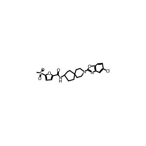 CS(=O)(=O)c1ccc(C(=O)NC2CCC3(CC2)CCN(c2nc4cc(Cl)ccc4o2)CC3)o1